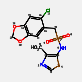 O=C(O)c1ncsc1NS(=O)(=O)Cc1cc2c(cc1Cl)OCO2